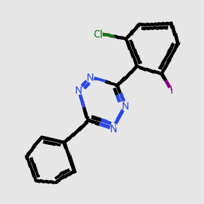 Clc1cccc(I)c1-c1nnc(-c2ccccc2)nn1